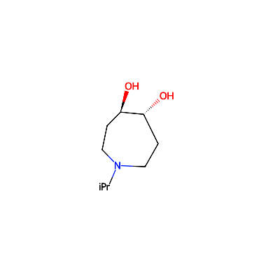 CC(C)N1CC[C@@H](O)[C@H](O)CC1